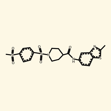 Cc1nc2cc(NC(=O)C3CCN(S(=O)(=O)c4ccc(S(C)(=O)=O)cc4)CC3)ccc2s1